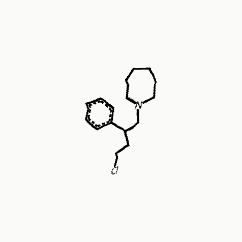 ClCCC(CN1CCCCCC1)c1ccccc1